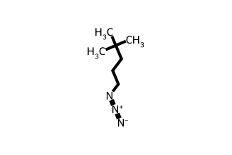 CC(C)(C)CCCN=[N+]=[N-]